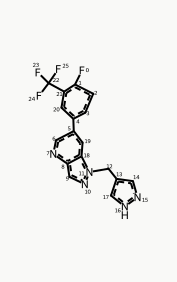 Fc1ccc(-c2cnc3cnn(Cc4cn[nH]c4)c3c2)cc1C(F)(F)F